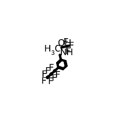 CC(O)(NCc1cccc(C(F)(F)C(F)(F)C(F)(F)F)c1)C(F)(F)F